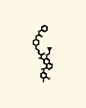 O=C(/C=C/CN1CCN(CC(=O)Oc2ccccc2)CC1)Nc1cc2c(Nc3ccc(F)c(Cl)c3)ncnc2cc1OCC1CC1